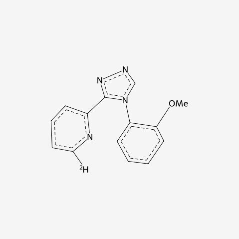 [2H]c1cccc(-c2nncn2-c2ccccc2OC)n1